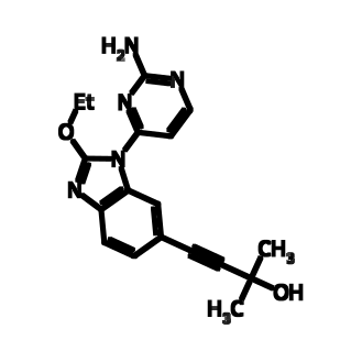 CCOc1nc2ccc(C#CC(C)(C)O)cc2n1-c1ccnc(N)n1